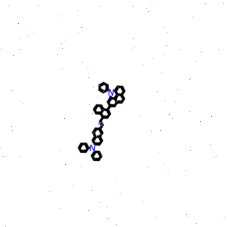 C(=C\c1ccc(-c2cc3ccc4cccc5c4c3c(c2)n5-c2ccccc2)c2ccccc12)/c1ccc2cc(N(c3ccccc3)c3ccccc3)ccc2c1